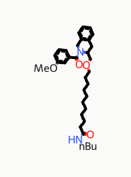 CCCCNC(=O)CCCCCCCCCCOCC1Cc2ccccc2CN1C(=O)c1cccc(OC)c1